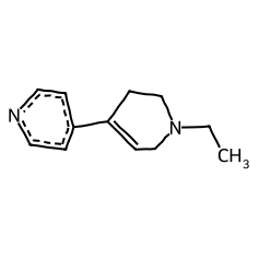 CCN1CC=C(c2ccncc2)CC1